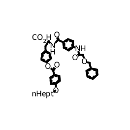 CCCCCCCOc1ccc(C(=O)Oc2ccc(CC(NC(=O)c3ccc(NC(=O)COCc4ccccc4)cc3)C(=O)O)cc2)cc1